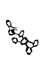 c1ccc(-c2cc3c4ccccc4c4ccccc4c3cc2-c2cccc(-c3cccc4c3sc3ccccc34)c2)cc1